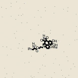 COc1cc(C2=C(c3cn(CCCOC(=O)C(N)CC(C)C)c4ccccc34)C(=O)NC2=O)cc(O)c1O